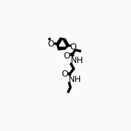 CCCNC(=O)CCNC(=O)C(C)Oc1ccc(OC)cc1